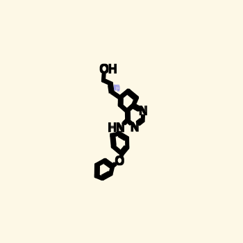 OC/C=C/c1ccc2ncnc(Nc3ccc(Oc4ccccc4)cc3)c2c1